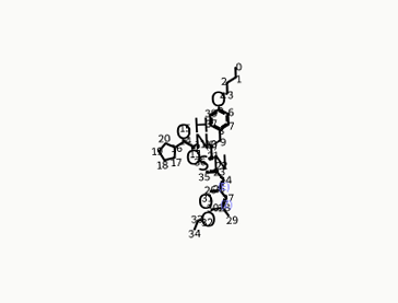 CCCCOc1ccc(C[C@H](NC(=O)C(=O)C2CCCC2)c2nc(/C=C(C)/C=C(/C)C(=O)OCC)cs2)cc1